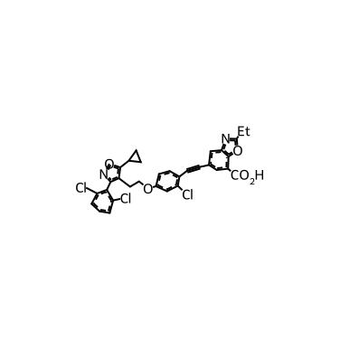 CCc1nc2cc(C#Cc3ccc(OCCc4c(-c5c(Cl)cccc5Cl)noc4C4CC4)cc3Cl)cc(C(=O)O)c2o1